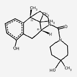 CC1(O)CCN(C(=O)N2CC[C@@]3(C)c4cccc(O)c4C[C@@H]2C3(C)C)CC1